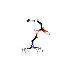 CCCCCCC(=O)OCCN(C)C